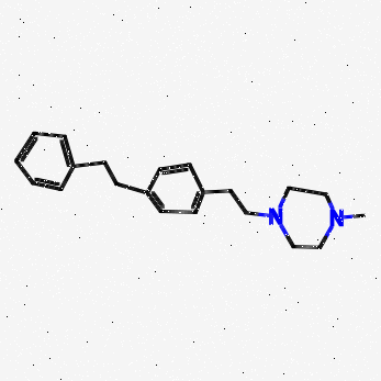 CN1CCN(CCc2ccc(CCc3ccccc3)cc2)CC1